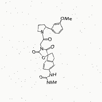 CNC(=O)Nc1ccc2c(c1)CCC21OC(=O)N(CC(=O)N2CCCC2c2cccc(OC)c2)C1=O